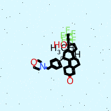 C[C@]12C[C@H](c3ccc(CN4CCOCC4)cc3)C3=C4CCC(=O)C=C4CC[C@H]3[C@@H]1CC[C@@]2(O)C(F)(F)C(F)(F)F